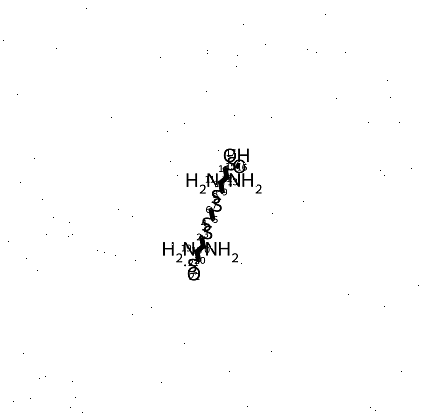 N[C@H](CSSCCSSC[C@@H](N)[C@H](N)CS(=O)O)[C@H](N)C[S]=O